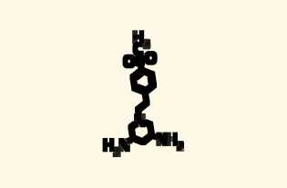 CS(=O)(=O)c1ccc(CCN2C[C@H](N)C[C@H](N)C2)cc1